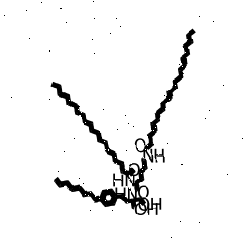 CCC=CCC=CCC=CCC=CCC=CCC=CCCC(=O)NCCCCC(NC(=O)CCCC=CCC=CCC=CCC=CCC=CCC)C(=O)NC(CO)(CO)CCc1ccc(CCCCCCCC)cc1